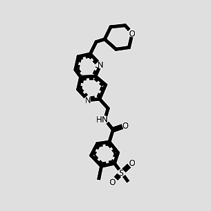 Cc1ccc(C(=O)NCc2cc3nc(CC4CCOCC4)ccc3cn2)cc1S(C)(=O)=O